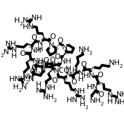 N=C(N)NCCC[C@H](NC(=O)CN)C(=O)N[C@@H](CCCCN)C(=O)N[C@@H](CCCCN)C(=O)N[C@@H](CCCNC(=N)N)C(=O)N[C@@H](CCCNC(=N)N)C(=O)N[C@@H](CCC(N)=O)C(=O)N[C@@H](CCCNC(=N)N)C(=O)N[C@@H](CCCNC(=N)N)C(=O)N[C@@H](CCCNC(=N)N)C(=O)N1CCC[C@H]1C(=O)N1CCC[C@H]1C(=O)N[C@@H](CCC(N)=O)C(=O)O